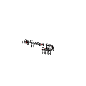 C=CC(=O)Nc1cccc(Nc2nc(Nc3ccc(Oc4ccnc(C(=O)N(C)CCOCCNC(=O)CCCC(=C)NCCCOCCOCCOCCCNC(=O)CCCC[C@@H]5SC[C@@H]6NC(=O)N[C@@H]65)c4)cc3)ncc2F)c1